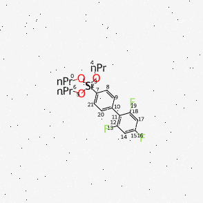 CCCO[Si](OCCC)(OCCC)c1ccc(-c2c(F)cc(F)cc2F)cc1